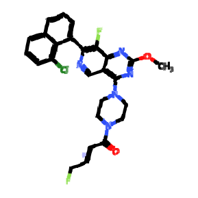 COc1nc(N2CCN(C(=O)/C=C/CF)CC2)c2cnc(-c3cccc4cccc(Cl)c34)c(F)c2n1